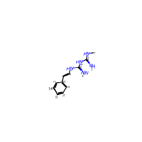 CNC(=N)NC(=N)NC=Cc1ccccc1